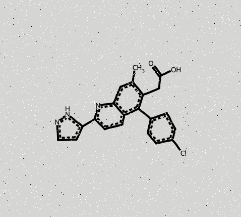 Cc1cc2nc(-c3ccn[nH]3)ccc2c(-c2ccc(Cl)cc2)c1CC(=O)O